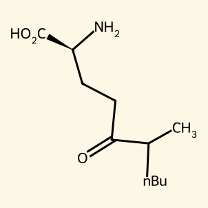 CCCCC(C)C(=O)CC[C@H](N)C(=O)O